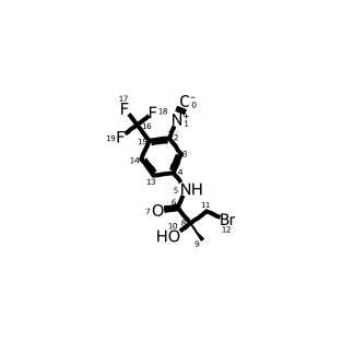 [C-]#[N+]c1cc(NC(=O)[C@@](C)(O)CBr)ccc1C(F)(F)F